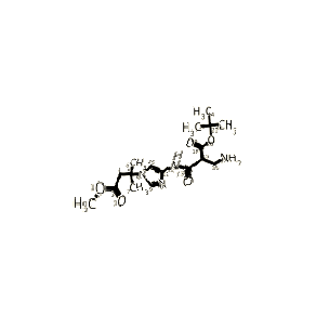 COC(=O)CC(C)(C)n1cnc(NC(=O)C(CN)C(=O)OC(C)(C)C)c1